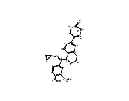 COc1ccc(C(=NC2CC2)N2CCCc3cc(C4=NNC(=O)SC4)ccc32)cc1OC